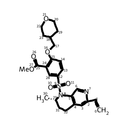 C=Cc1cc2c(cn1)N(S(=O)(=O)c1ccc(OCC3CCOCC3)c(C(=O)OC)c1)[C@@H](C)CC2